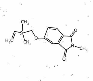 C=C[Si](C)(C)COc1ccc2c(c1)C(=O)N(C)C2=O